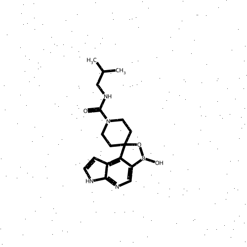 CC(C)CNC(=O)N1CCC2(CC1)OB(O)c1cnc3[nH]ccc3c12